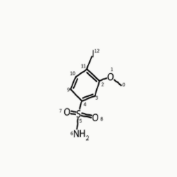 COc1cc(S(N)(=O)=O)ccc1I